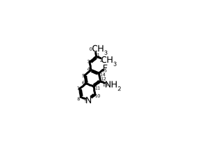 CC(C)=Cc1cc2ccncc2c(N)c1F